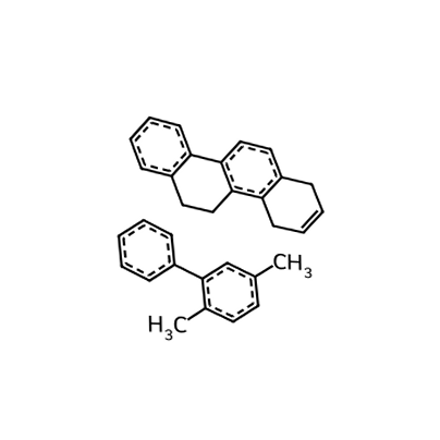 C1=CCc2c(ccc3c2CCc2ccccc2-3)C1.Cc1ccc(C)c(-c2ccccc2)c1